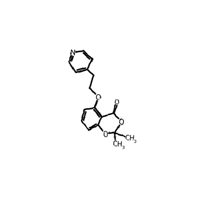 CC1(C)OC(=O)c2c(OCCc3ccncc3)cccc2O1